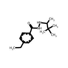 CCc1ccc(C(=O)NNC(C)C(C)(C)C)cc1